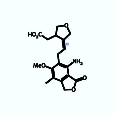 COc1c(C)c2c(c(N)c1C/C=C1/COCC1CC(=O)O)C(=O)OC2